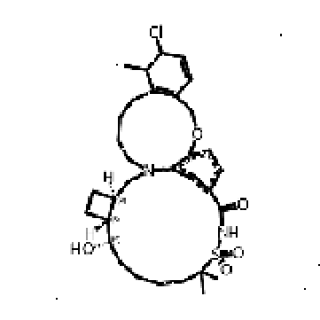 CC1C2=C(C=CC1Cl)COc1ccc3cc1N(CCCC2)C[C@@H]1CC[C@H]1[C@@H](O)CCCCC(C)(C)S(=O)(=O)NC3=O